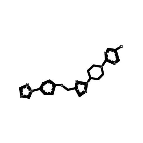 Clc1cnc(N2CCC(n3ncc(COc4ccc(-n5cncn5)cc4)n3)CC2)nc1